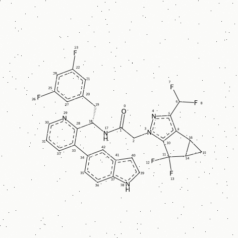 O=C(Cn1nc(C(F)F)c2c1C(F)(F)C1CC21)N[C@@H](Cc1cc(F)cc(F)c1)c1ncccc1-c1ccc2[nH]ccc2c1